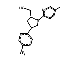 Cc1ccc(N2CC(c3ccc(C(F)(F)F)cc3)C[C@H]2CO)nc1